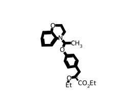 CCOC(=O)[C@H](Cc1ccc(OC(C)N2CCOc3ccccc32)cc1)OCC